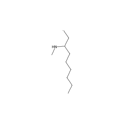 [CH2]CC(CCCCCC)NC